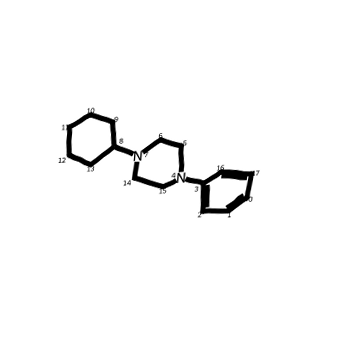 [c]1ccc(N2CCN(C3CCCCC3)CC2)cc1